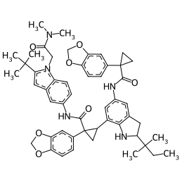 CCC(C)(C)C1Cc2cc(NC(=O)C3(c4ccc5c(c4)OCO5)CC3)cc(C3CC3(C(=O)Nc3ccc4c(c3)cc(C(C)(C)C)n4CC(=O)N(C)C)c3ccc4c(c3)OCO4)c2N1